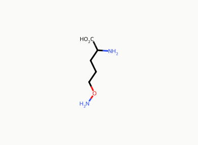 NOCCCC(N)C(=O)O